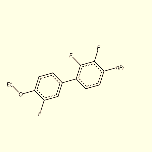 CCCc1ccc(-c2ccc(OCC)c(F)c2)c(F)c1F